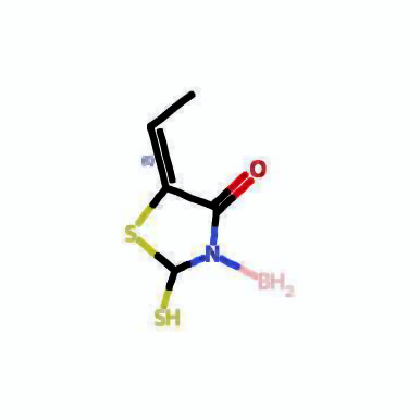 BN1C(=O)/C(=C\C)SC1S